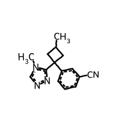 CC1CC(c2cccc(C#N)c2)(c2nncn2C)C1